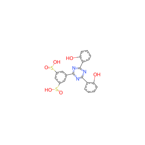 O=S(O)c1cc(-c2nc(-c3ccccc3O)nc(-c3ccccc3O)n2)cc(S(=O)O)c1